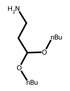 CCCCOC(CCN)OCCCC